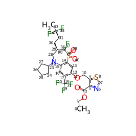 CCOC(=O)c1ncsc1COc1cc2c(cc1C(F)(F)F)N(C1CCCC1)C[C@@H](CCC(C)(F)F)[C@@H](F)S2(=O)=O